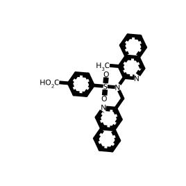 Cc1c(N(Cc2cc3ccccc3cn2)S(=O)(=O)c2ccc(C(=O)O)cc2)ncc2ccccc12